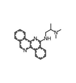 CC(CNc1nc2c3ccccc3cnc2c2ccccc12)N(C)C